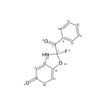 O=C1C=C2NC(F)(C(=O)c3ccccc3)OC2=CC1